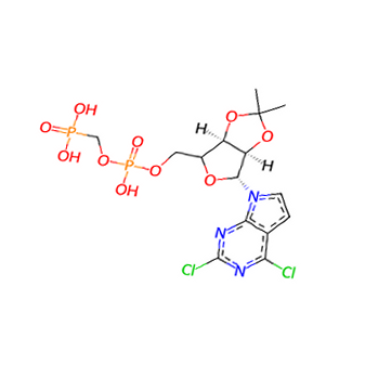 CC1(C)O[C@@H]2[C@H](O1)C(COP(=O)(O)OCP(=O)(O)O)O[C@H]2n1ccc2c(Cl)nc(Cl)nc21